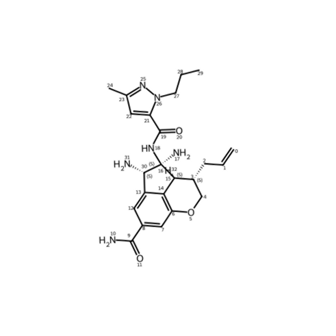 C=CC[C@@H]1COc2cc(C(N)=O)cc3c2[C@H]1[C@](N)(NC(=O)c1cc(C)nn1CCC)[C@H]3N